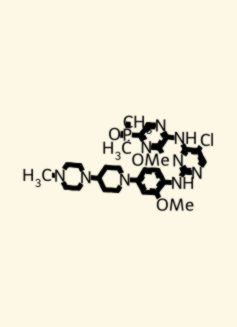 COc1cc(N2CCC(N3CCN(C)CC3)CC2)ccc1Nc1ncc(Cl)c(Nc2ncc(P(C)(C)=O)nc2OC)n1